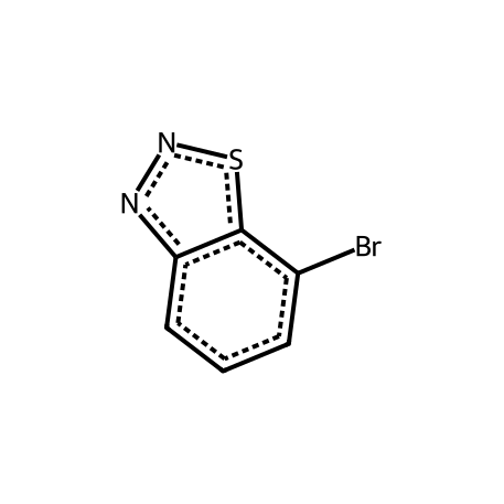 Brc1cccc2nnsc12